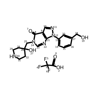 O=C(O)C(F)(F)F.O=c1c2cnn(-c3cccc(CO)c3)c2ncn1CC1(O)CCNCC1